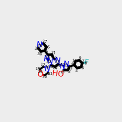 Oc1cc(-c2ccc(F)cc2)nn1-c1cc(N2CCOCC2)n2nc(-c3ccncc3)cc2n1